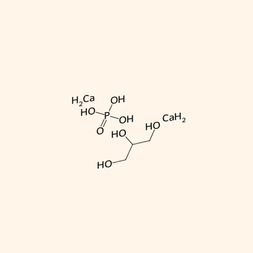 O=P(O)(O)O.OCC(O)CO.[CaH2].[CaH2]